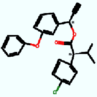 C#C[C@@H](OC(=O)[C@H](c1ccc(Cl)cc1)C(C)C)c1cccc(Oc2ccccc2)c1